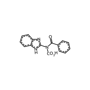 O=C(O)N(C(=O)c1ccccc1)c1nc2ccccc2[nH]1